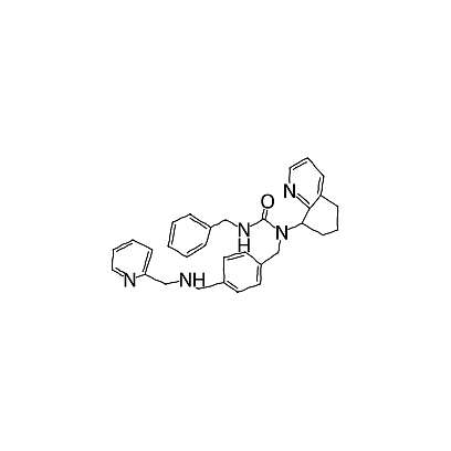 O=C(NCc1ccccc1)N(Cc1ccc(CNCc2ccccn2)cc1)C1CCCc2cccnc21